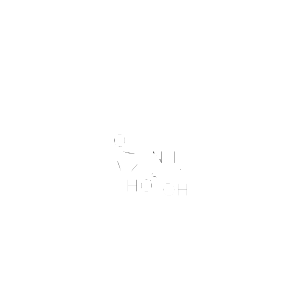 NC(c1cccc(OCC2CCCCC2)c1)[C@@H](O)CO